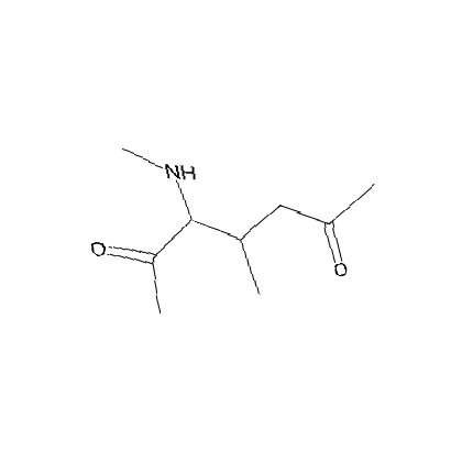 CNC(C(C)=O)C(C)CC(C)=O